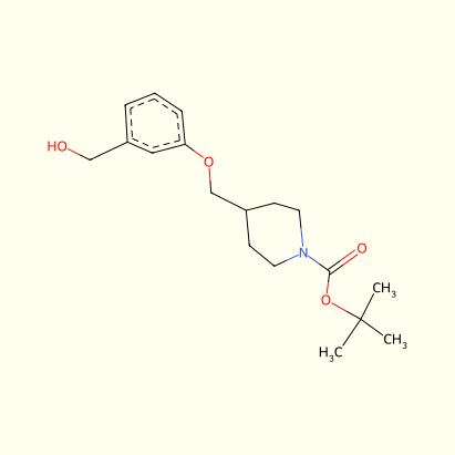 CC(C)(C)OC(=O)N1CCC(COc2cccc(CO)c2)CC1